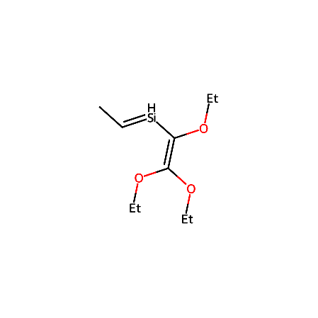 CC=[SiH]C(OCC)=C(OCC)OCC